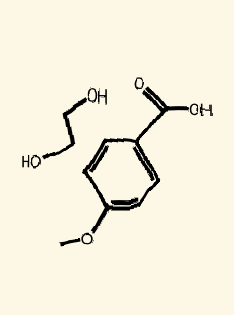 COc1ccc(C(=O)O)cc1.OCCO